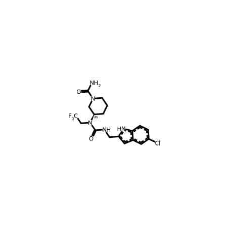 NC(=O)N1CCC[C@@H](N(CC(F)(F)F)C(=O)NCc2cc3cc(Cl)ccc3[nH]2)C1